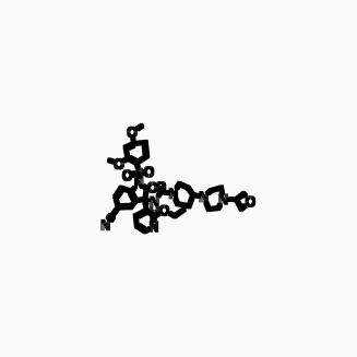 CCOc1ncccc1[C@]1(NC(=O)N2CCC(N3CCN(C4COC4)CC3)CC2)C(=O)N(S(=O)(=O)c2ccc(OC)cc2OC)c2ccc(C#N)cc21